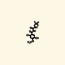 COc1cc(Cl)c(C(=O)NC(=O)NCC(F)(F)F)cc1O